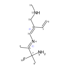 C=C/C(=C\N=C(/C)C(C)(N)F)CNC